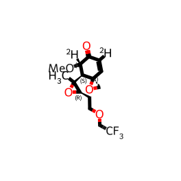 [2H]C1=C[C@]2(CO2)[C@@H](C2(C)O[C@@H]2CCOCC(F)(F)F)[C@]([2H])(OC)C1=O